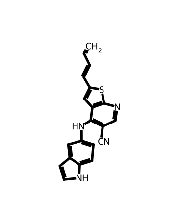 C=CC=Cc1cc2c(Nc3ccc4[nH]ccc4c3)c(C#N)cnc2s1